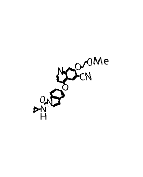 COCCOc1cc2nccc(Oc3ccc4c(ccn4C(=O)NC4CC4)c3)c2cc1C#N